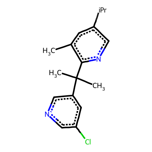 Cc1cc(C(C)C)cnc1C(C)(C)c1cncc(Cl)c1